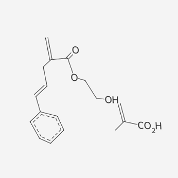 C=C(C)C(=O)O.C=C(CC=Cc1ccccc1)C(=O)OCCO